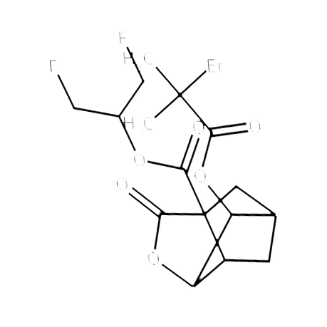 CCC(C)(C)C(=O)OC1C2CC3C1OC(=O)C3(C(=O)OC(CF)CF)C2